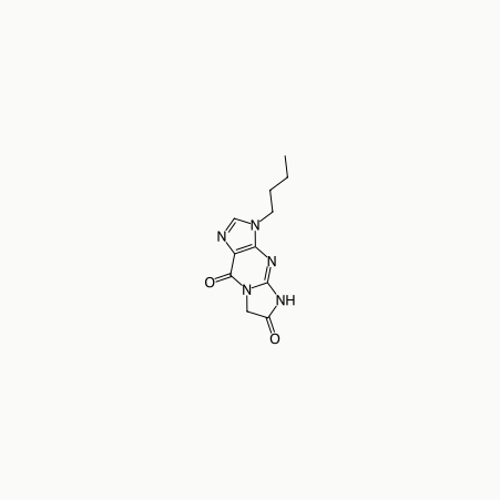 CCCCn1cnc2c(=O)n3c(nc21)NC(=O)C3